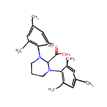 Cc1cc(C)c(N2CCCN(c3c(C)cc(C)cc3C)C2C(=O)O)c(C)c1